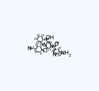 N#Cc1ccc(Cl)c([C@H](c2ccccc2)N2CCN(C(=O)c3cncc(N)c3)C[C@@H]2CO)c1